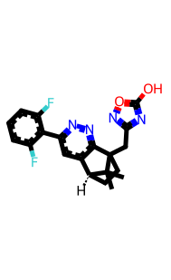 CC1(C)[C@H]2CCC1(Cc1noc(O)n1)c1nnc(-c3c(F)cccc3F)cc12